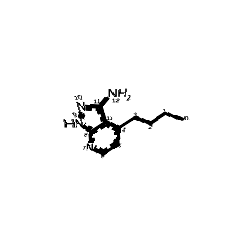 CCCCc1ccnc2[nH]nc(N)c12